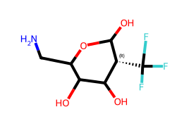 NCC1OC(O)[C@H](C(F)(F)F)C(O)C1O